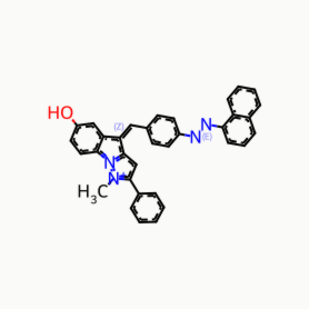 C[n+]1c(-c2ccccc2)cc2/c(=C\c3ccc(/N=N/c4cccc5ccccc45)cc3)c3cc(O)ccc3n21